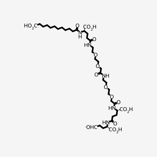 O=[C]CC[C@H](NC(=O)CC[C@H](NC(=O)COCCOCCNC(=O)COCCOCCNC(=O)CC[C@H](NC(=O)CCCCCCCCCCC(=O)O)C(=O)O)C(=O)O)C(=O)O